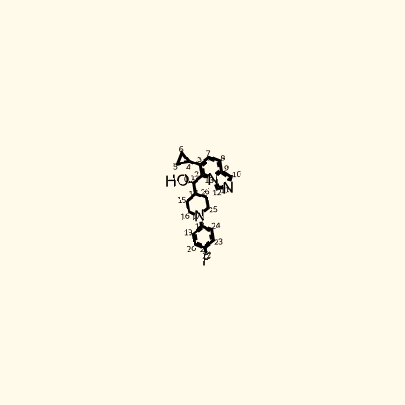 O[C@@H](c1c(C2CC2)ccc2cncn12)C1CCN(c2ccc(F)cc2)CC1